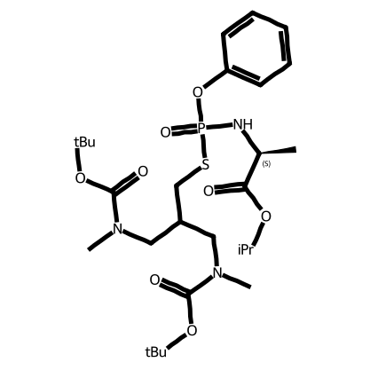 CC(C)OC(=O)[C@H](C)NP(=O)(Oc1ccccc1)SCC(CN(C)C(=O)OC(C)(C)C)CN(C)C(=O)OC(C)(C)C